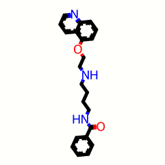 O=C(NCCCCNCCOc1cccc2ncccc12)c1ccccc1